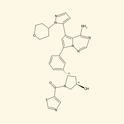 Nc1ncnn2c(-c3cccc([C@@H]4C[C@@H](O)CN4C(=O)c4cncs4)c3)cc(-c3ccnn3C3CCOCC3)c12